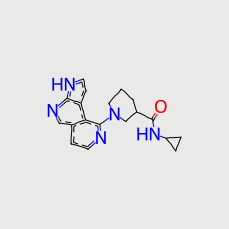 O=C(NC1CC1)C1CCCN(c2nccc3cnc4[nH]ccc4c23)C1